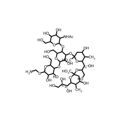 CC(=O)NC1C(OC2C(CO)OC(OC3C(CO)OC(OCN)C(O)C3O)C(O)C2OC2(C(=O)O)CC(O)C(C)C([C@H](O)C(CO)OC3(C(=O)O)CC(O)C(C)C([C@H](O)[C@H](O)CO)O3)O2)OC(CO)C(O)C1O